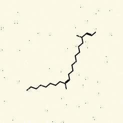 CC=CC(C)CCCCCCCCC=C(C)CCCCCCCC